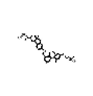 C=C(CC1c2ccc(OCc3cccc(-c4c(C)cc(OCCC(C)(C)O)cc4C)c3C)cc2CC12CC2)N(C)/N=N\N